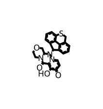 O=C1c2c(O)c(=O)ccn2N(C2c3cccc4c3-c3c(cccc32)SC4)C2COCCN12